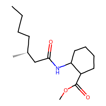 CCCC[C@@H](C)CC(=O)NC1CCCCC1C(=O)OC